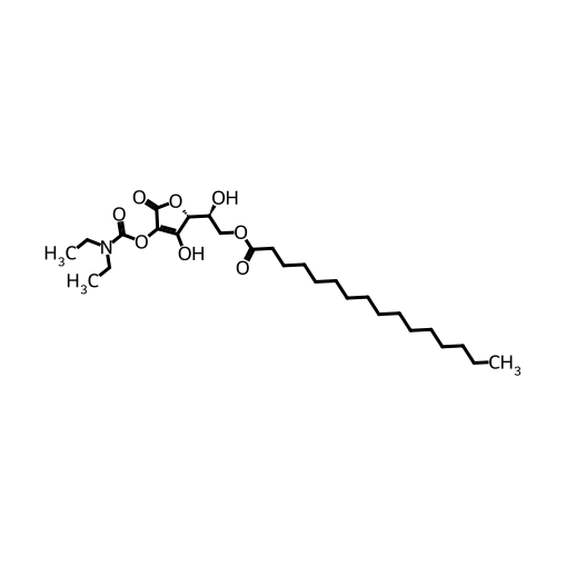 CCCCCCCCCCCCCCCC(=O)OC[C@H](O)[C@H]1OC(=O)C(OC(=O)N(CC)CC)=C1O